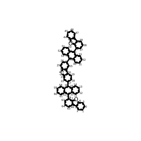 c1ccc2c(c1)oc1c(-c3c4ccccc4c(-c4ccc5c(c4)sc4ccc(-c6c7ccccc7c(-c7cccc8c7oc7ccccc78)c7ccccc67)cc45)c4ccccc34)cccc12